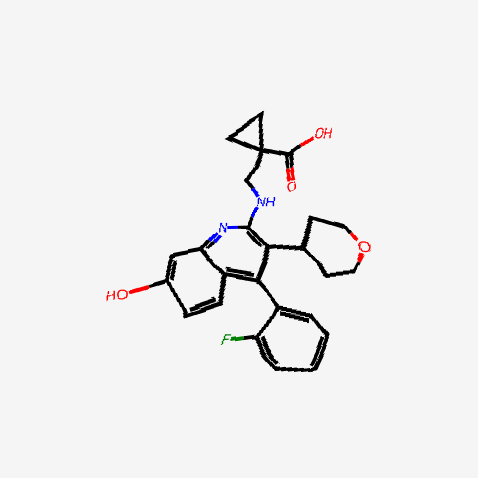 O=C(O)C1(CNc2nc3cc(O)ccc3c(-c3ccccc3F)c2C2CCOCC2)CC1